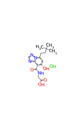 CC(C)(C)CCc1cc(O)c(C(=O)NCC(=O)O)c2ncnn12.Cl